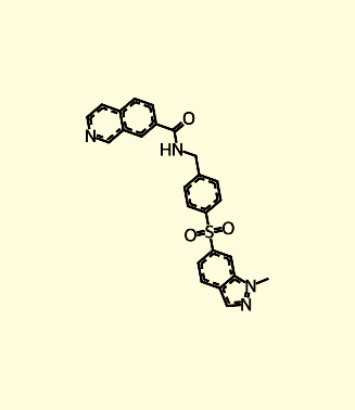 Cn1ncc2ccc(S(=O)(=O)c3ccc(CNC(=O)c4ccc5ccncc5c4)cc3)cc21